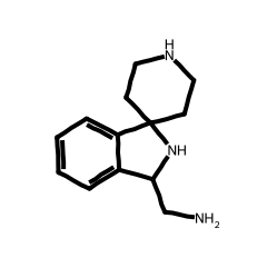 NCC1NC2(CCNCC2)c2ccccc21